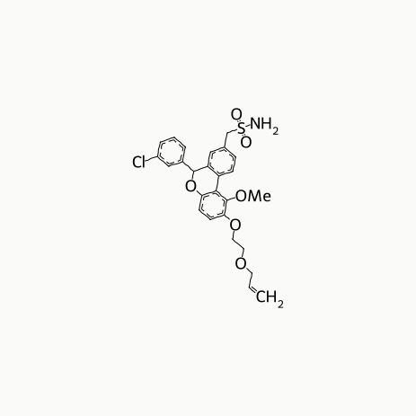 C=CCOCCOc1ccc2c(c1OC)-c1ccc(CS(N)(=O)=O)cc1C(c1cccc(Cl)c1)O2